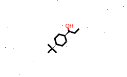 CCC(O)[C@H]1CC[C@H](C(C)(C)C)CC1